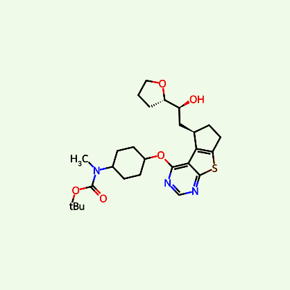 CN(C(=O)OC(C)(C)C)C1CCC(Oc2ncnc3sc4c(c23)[C@@H](C[C@H](O)[C@@H]2CCCO2)CC4)CC1